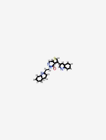 O=c1c2c(-c3cnc4ccccc4c3)csc2cnn1CCc1ccc2ccccc2n1